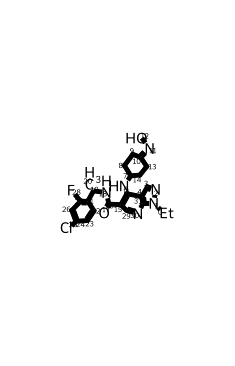 CCn1ncc2c(NC3CCC(=NO)CC3)c(C(=O)NC(C)c3ccc(Cl)cc3F)cnc21